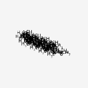 C=C(C)C(=O)OCCC[Si](C)(C)O[Si](C)(C)O[Si](C)(C)O[Si](C)(C)O[Si](C)(C)O[Si](C)(C)O[Si](C)(C)O[Si](C)(C)O[Si](C)(C)O[Si](C)(C)O[Si](C)(C)O[Si](C)(C)O[Si](C)(C)O[Si](C)(C)O[Si](C)(C)O[Si](C)(C)O[Si](C)(C)O[Si](C)(C)O[Si](C)(C)O[Si](C)(C)O[Si](C)(C)O[Si](C)(C)O[Si](C)(C)O[Si](C)(C)O[Si](C)(C)O[Si](C)(C)O[Si](C)(C)O[Si](C)(C)O[Si](C)(C)O[Si](C)(C)O[Si](C)(C)NCCCC